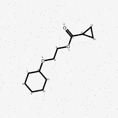 O=C(OCCOC1CCCCC1)C1CC1